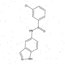 O=C(Nc1ccc2[nH]ncc2c1)c1cccc(Cl)c1